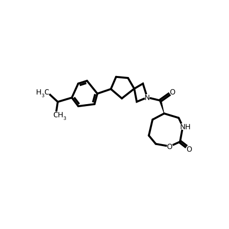 CC(C)c1ccc(C2CCC3(C2)CN(C(=O)[C@@H]2CCCOC(=O)NC2)C3)cc1